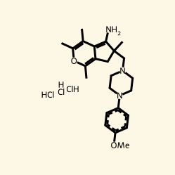 COc1ccc(N2CCN(CC3(C)CC4=C(C)OC(C)=C(C)C4=C3N)CC2)cc1.Cl.Cl.Cl